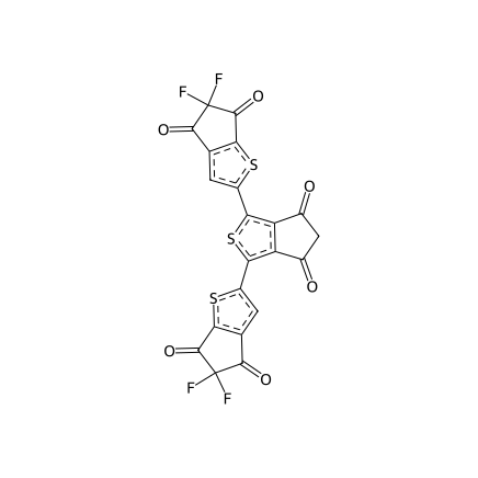 O=C1CC(=O)c2c(-c3cc4c(s3)C(=O)C(F)(F)C4=O)sc(-c3cc4c(s3)C(=O)C(F)(F)C4=O)c21